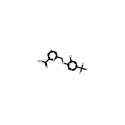 O=C(O)c1cccc(COc2ccc(C(F)(F)F)cc2Cl)n1